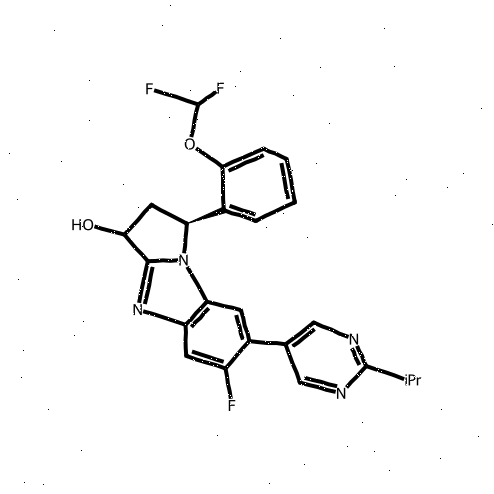 CC(C)c1ncc(-c2cc3c(cc2F)nc2n3[C@H](c3ccccc3OC(F)F)CC2O)cn1